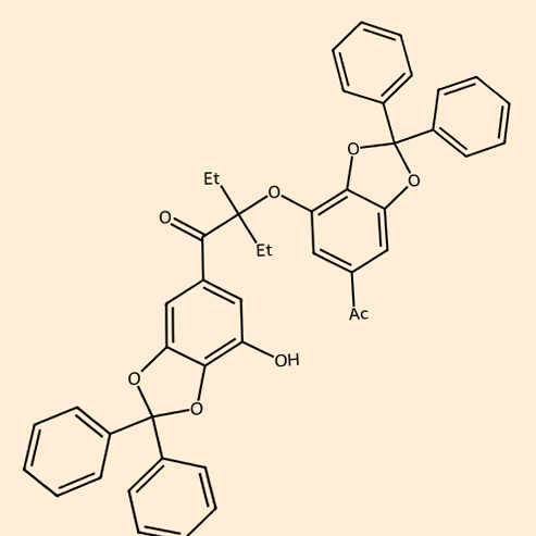 CCC(CC)(Oc1cc(C(C)=O)cc2c1OC(c1ccccc1)(c1ccccc1)O2)C(=O)c1cc(O)c2c(c1)OC(c1ccccc1)(c1ccccc1)O2